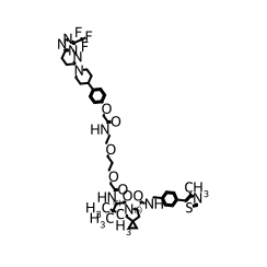 Cc1ncsc1-c1ccc(CNC(=O)[C@@H]2CC3(CC3)CN2C(=O)[C@@H](NC(=O)COCCCOCCNC(=O)COc2ccc(C3CCN(C4=Nn5c(nnc5C(F)(F)F)CC4)CC3)cc2)C(C)(C)C)cc1